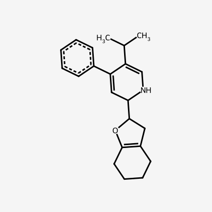 CC(C)C1=CNC(C2CC3=C(CCCC3)O2)C=C1c1ccccc1